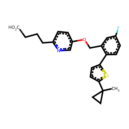 CC1(c2ccc(-c3ccc(F)cc3COc3ccc(CCCC(=O)O)nc3)s2)CC1